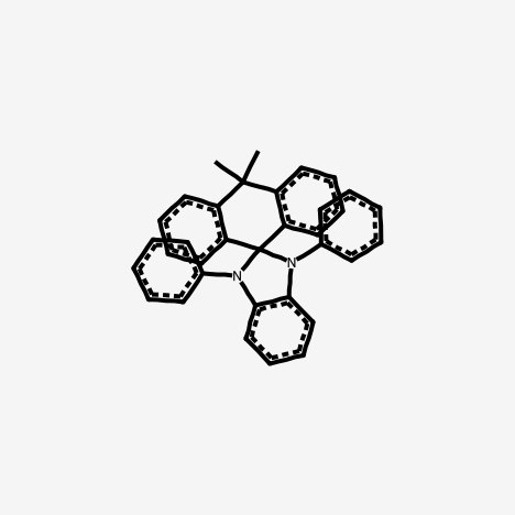 CC1(C)c2ccccc2C2(c3ccccc31)N(c1ccccc1)c1ccccc1N2c1ccccc1